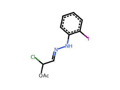 CC(=O)OC(Cl)C=NNc1ccccc1I